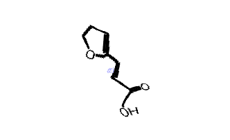 O=C(O)/C=C/C1=CCCO1